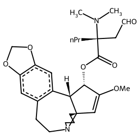 CCC[C@@](CC=O)(C(=O)O[C@@H]1C(OC)=C[C@]23CCCN2CCc2cc4c(cc2[C@H]13)OCO4)N(C)C